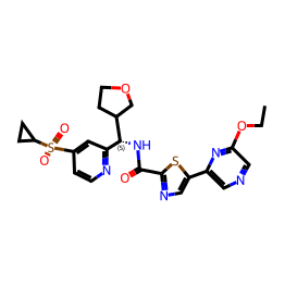 CCOc1cncc(-c2cnc(C(=O)N[C@H](c3cc(S(=O)(=O)C4CC4)ccn3)C3CCOC3)s2)n1